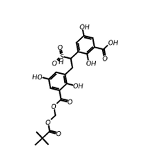 CC(C)(C)C(=O)OCOC(=O)c1cc(O)cc(CC(c2cc(O)cc(C(=O)O)c2O)[SH](=O)=O)c1O